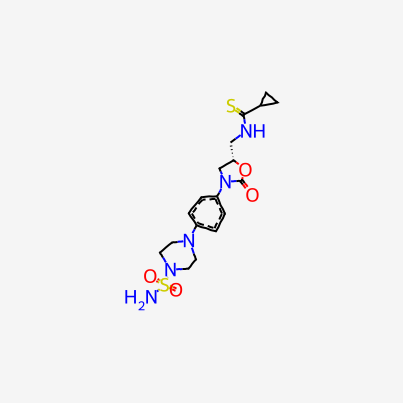 NS(=O)(=O)N1CCN(c2ccc(N3C[C@H](CNC(=S)C4CC4)OC3=O)cc2)CC1